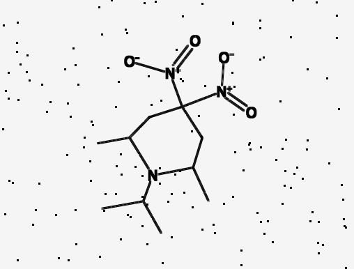 CC(C)N1C(C)CC([N+](=O)[O-])([N+](=O)[O-])CC1C